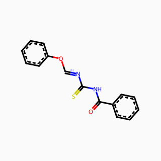 O=C(NC(=S)/N=C/Oc1ccccc1)c1ccccc1